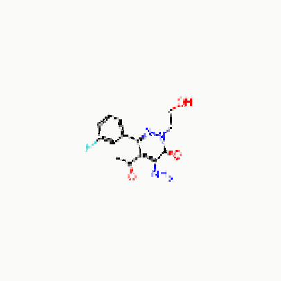 CC(=O)c1c(-c2cccc(F)c2)nn(CCO)c(=O)c1N